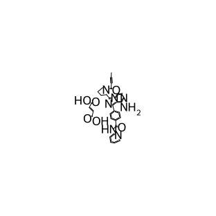 CC#CC(=O)N1CCCC1c1nc(-c2ccc(C(=O)Nc3ccccn3)cc2)c2c(N)nccn12.O=C(O)C=CC(=O)O